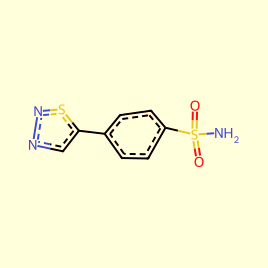 NS(=O)(=O)c1ccc(-c2cnns2)cc1